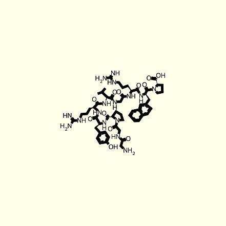 CC(C)[C@@H](NC(=O)[C@H](CCCNC(=N)N)NC(=O)[C@H](Cc1ccc(O)cc1)NC(=O)[C@@H]1CCCN1C(=O)CNC(=O)CN)C(=O)NCC(=O)N[C@@H](CCCNC(=N)N)C(=O)N[C@H](Cc1ccc2ccccc2c1)C(=O)N1CCC[C@H]1C(=O)O